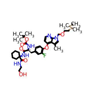 Cc1cn(COCCS(C)(C)C)c2nccc(Oc3ccc(C[C@H](NC(=O)OC(C)(C)C)C(=O)NC4(C(=O)NCCO)CCCCC4)cc3F)c12